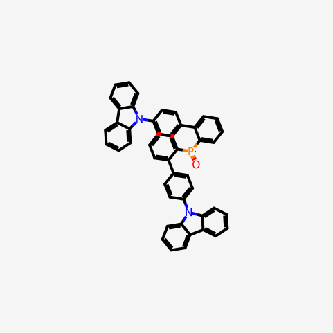 O=[P](c1ccccc1-c1ccc(-n2c3ccccc3c3ccccc32)cc1)c1ccccc1-c1ccc(-n2c3ccccc3c3ccccc32)cc1